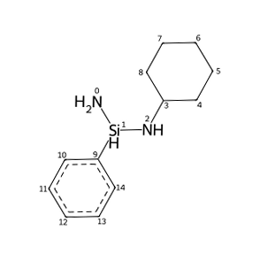 N[SiH](NC1CCCCC1)c1ccccc1